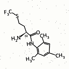 Cc1cc(C)c(NC(=O)[C@@H](N)CCSC(F)(F)F)c(C)c1